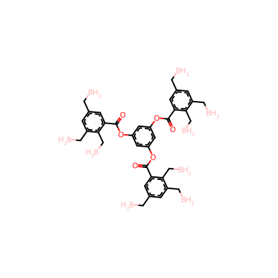 BCc1cc(CB)c(CB)c(C(=O)Oc2cc(OC(=O)c3cc(CB)cc(CB)c3CB)cc(OC(=O)c3cc(CB)cc(CB)c3CB)c2)c1